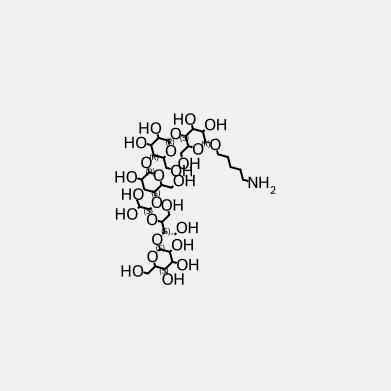 CC(O)[C@@H](OC(CO)[C@H](CO)O[C@@H]1OC(CO)[C@@H](O)C(O)C1O)O[C@@H]1C(CO)O[C@H](O[C@H]2C(CO)O[C@H](O[C@@H]3C(CO)O[C@@H](OCCCCCN)C(O)C3O)C(O)C2O)C(O)C1O